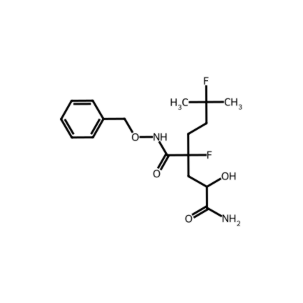 CC(C)(F)CCC(F)(CC(O)C(N)=O)C(=O)NOCc1ccccc1